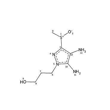 C[S+]([O-])c1nn(CCCO)c(N)c1N